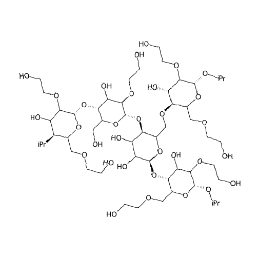 CC(C)O[C@@H]1OC(COCCO)[C@H](O[C@@H]2OC(CO[C@@H]3C(COCCO)O[C@@H](OC(C)C)C(OCCO)[C@H]3O)[C@H](O[C@@H]3OC(CO)[C@H](O[C@@H]4OC(COCCO)[C@@H](C(C)C)C(O)C4OCCO)C(O)C3OCCO)C(O)C2O)C(O)C1OCCO